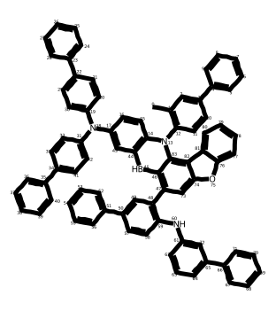 Cc1cc(-c2ccccc2)ccc1N1c2ccc(N(c3ccc(-c4ccccc4)cc3)c3ccc(-c4ccccc4)cc3)cc2Bc2c(-c3cc(-c4ccccc4)ccc3Nc3cccc(-c4ccccc4)c3)cc3oc4ccccc4c3c21